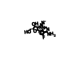 C[C@@]1(N=[N+]=[N-])[C@H](O)[C@@H](CO)O[C@@H]1n1cc(F)c2c(N)ncnc21